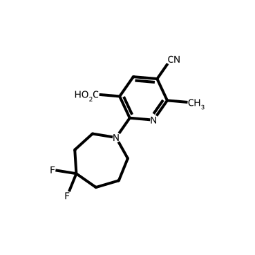 Cc1nc(N2CCCC(F)(F)CC2)c(C(=O)O)cc1C#N